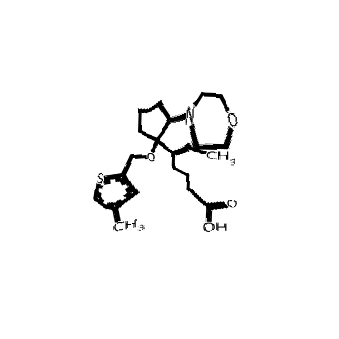 CC=C(CCCC(=O)O)C1(OCc2cc(C)cs2)CCCC1N1CCOCC1